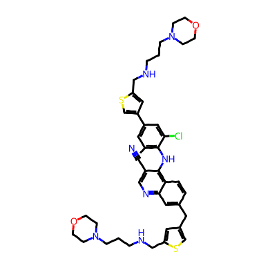 Cc1cc(-c2csc(CNCCCN3CCOCC3)c2)cc(Cl)c1Nc1c(C#N)cnc2cc(Cc3csc(CNCCCN4CCOCC4)c3)ccc12